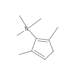 CC1=CCC(C)=[C]1[Ti]([CH3])([CH3])[CH3]